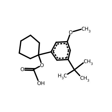 COc1cc(C(C)(C)C)cc(C2(OC(=O)O)CCCCC2)c1